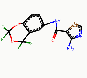 Nc1ncsc1C(=O)Nc1ccc2c(c1)C(F)(F)OC(F)(F)O2